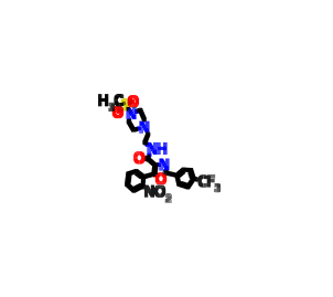 CS(=O)(=O)N1CCN(CCNC(=O)c2nc(-c3ccc(C(F)(F)F)cc3)oc2-c2ccccc2[N+](=O)[O-])CC1